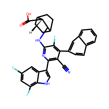 N#Cc1c(-c2c[nH]c3c(F)cc(F)cc23)nc(NC2C3CCC(CC3)[C@H]2C(=O)O)c(F)c1-c1ccc2ccccc2c1